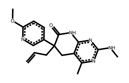 C=CCC1(c2ccc(OC)nc2)Cc2c(C)nc(NC)nc2NC1=O